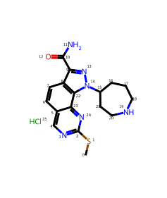 CSc1ncc2ccc3c(C(N)=O)nn(C4CCCNCC4)c3c2n1.Cl